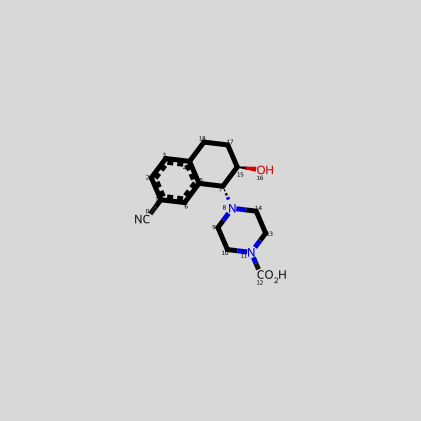 N#Cc1ccc2c(c1)[C@@H](N1CCN(C(=O)O)CC1)[C@H](O)CC2